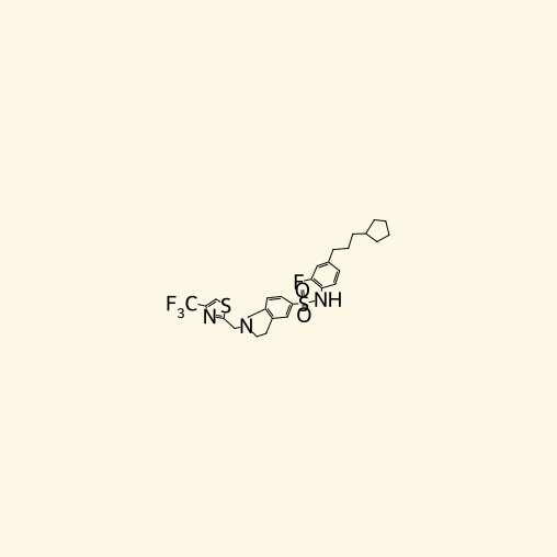 O=S(=O)(Nc1ccc(CCCC2CCCC2)cc1F)c1ccc2c(c1)CCN(Cc1nc(C(F)(F)F)cs1)C2